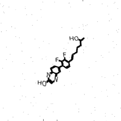 CC(O)CCC/C=C/c1ccc(-c2ccc3nc(O)cnc3c2)c(F)c1F